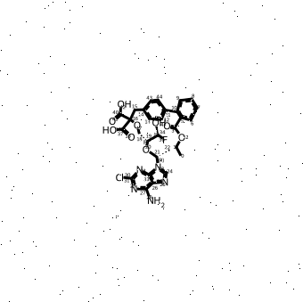 CCOC(=O)c1ccccc1-c1ccc(CC(OC[C@@H](O[C@H](C)n2cnc3c(N)nc(Cl)nc32)[C@@H](O)F)(C(=O)O)C(=O)O)cc1